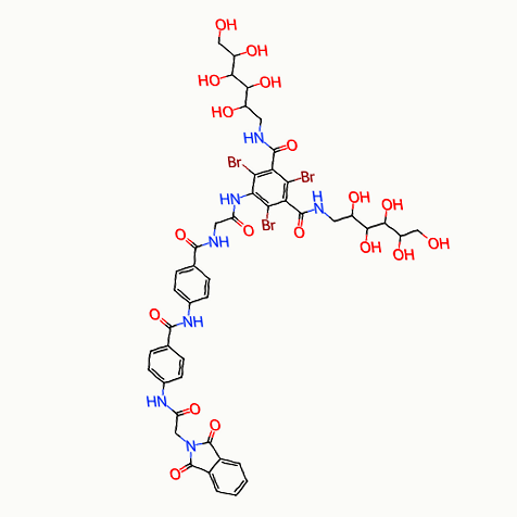 O=C(CN1C(=O)c2ccccc2C1=O)Nc1ccc(C(=O)Nc2ccc(C(=O)NCC(=O)Nc3c(Br)c(C(=O)NCC(O)C(O)C(O)C(O)CO)c(Br)c(C(=O)NCC(O)C(O)C(O)C(O)CO)c3Br)cc2)cc1